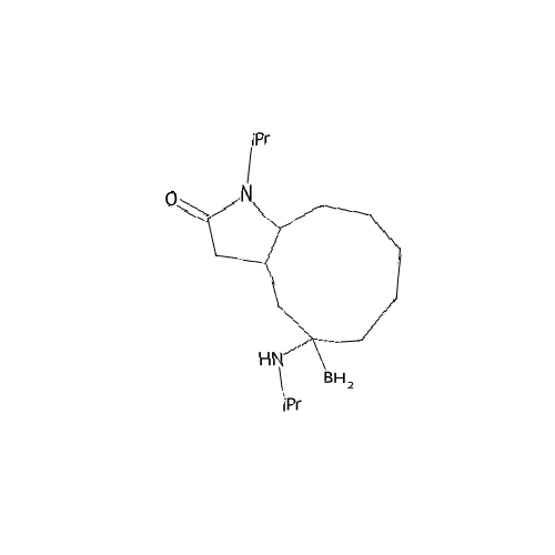 BC1(NC(C)C)CCCCCC2C(CC(=O)N2C(C)C)C1